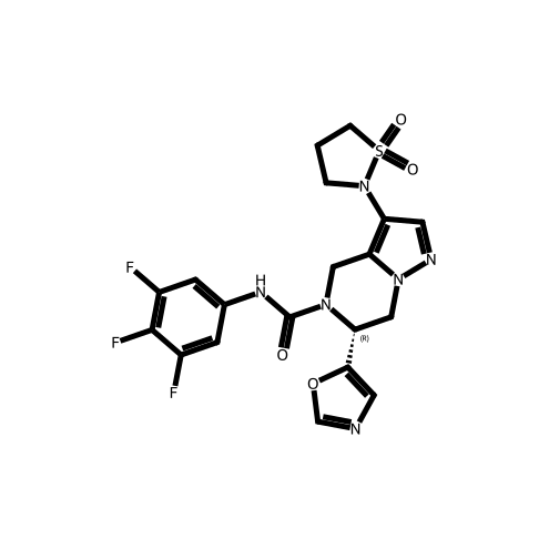 O=C(Nc1cc(F)c(F)c(F)c1)N1Cc2c(N3CCCS3(=O)=O)cnn2C[C@@H]1c1cnco1